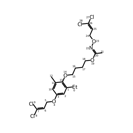 CCc1cc(OCC=C(Cl)Cl)cc(C)c1OCCCCOC(C)=NOCC=C(Cl)Cl